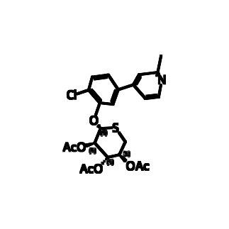 CC(=O)O[C@@H]1[C@@H](OC(C)=O)[C@@H](Oc2cc(-c3ccnc(C)c3)ccc2Cl)SC[C@H]1OC(C)=O